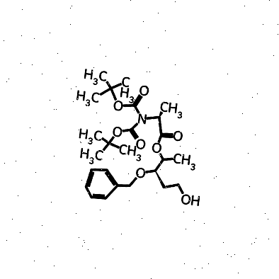 CC(OC(=O)[C@H](C)N(C(=O)OC(C)(C)C)C(=O)OC(C)(C)C)[C@@H](CCO)OCc1ccccc1